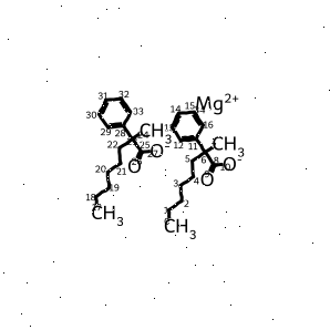 CCCCCCC(C)(C(=O)[O-])c1ccccc1.CCCCCCC(C)(C(=O)[O-])c1ccccc1.[Mg+2]